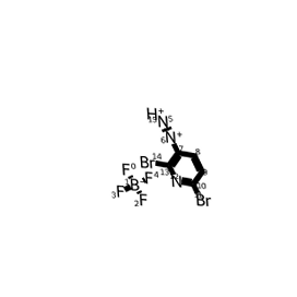 F[B-](F)(F)F.N#[N+]c1ccc(Br)nc1Br.[H+]